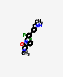 C=C1Cc2cc(-c3cc(F)c(CN4C(=O)C5(CCN(C)CC5)c5ccccc54)c(F)c3)ccc2N1